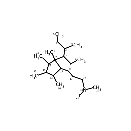 CCC(C)C(CC)C1(C)C(C)C(C)C(C)C1CCCN(C)I